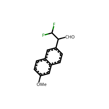 COc1ccc2cc(C(C=O)C(F)F)ccc2c1